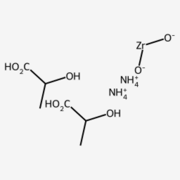 CC(O)C(=O)O.CC(O)C(=O)O.[NH4+].[NH4+].[O-][Zr][O-]